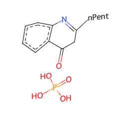 CCCCCC1=Nc2ccccc2C(=O)C1.O=P(O)(O)O